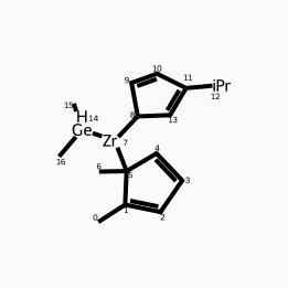 CC1=CC=C[C]1(C)[Zr]([CH]1C=CC(C(C)C)=C1)[GeH]([CH3])[CH3]